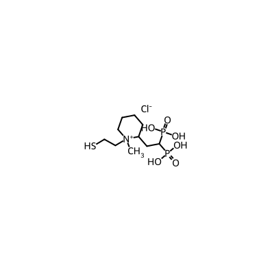 C[N+]1(CCS)CCCCC1CC(P(=O)(O)O)P(=O)(O)O.[Cl-]